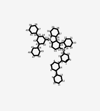 C1=CC(C2CCCC(C3CCCCC3)C2)CC(N2C3CCCCC3C3C4C5CCCCC5N(C5CC(C6CCCCC6)CC(C6CCCCC6)C5)C4CCC32)C1